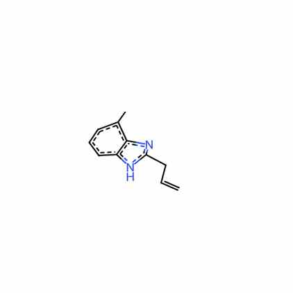 C=CCc1nc2c(C)cccc2[nH]1